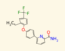 C=Cc1cc(C(F)(F)F)ccc1Oc1ccc(-c2cccc(C(N)=O)n2)cc1